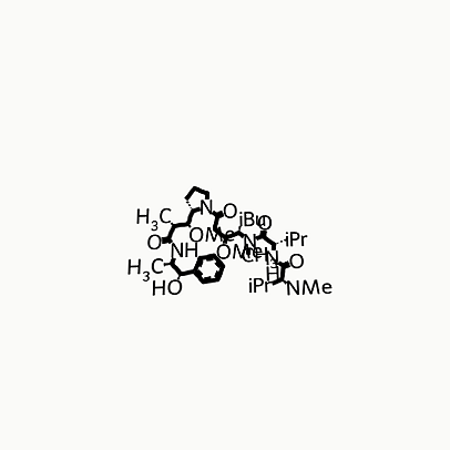 CCC(C)[C@@H](C(CC(=O)N1CCC[C@H]1[C@H](OC)[C@@H](C)C(=O)N[C@H](C)[C@@H](O)c1ccccc1)OC)N(C)C(=O)[C@@H](NC(=O)[C@@H](NC)C(C)C)C(C)C